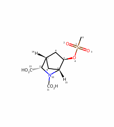 CS(=O)(=O)O[C@@H]1C[C@@H]2C[C@H]1N(C(=O)O)[C@@H]2C(=O)O